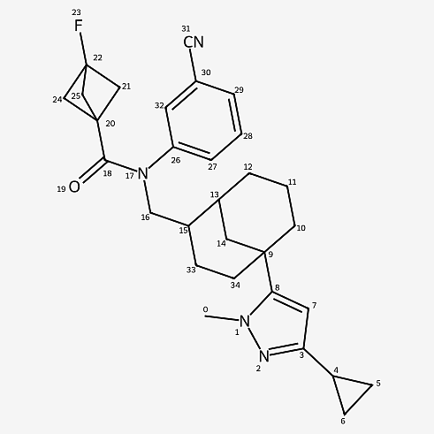 Cn1nc(C2CC2)cc1C12CCCC(C1)C(CN(C(=O)C13CC(F)(C1)C3)c1cccc(C#N)c1)CC2